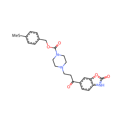 CSc1ccc(COC(=O)N2CCN(CCC(=O)c3ccc4[nH]c(=O)oc4c3)CC2)cc1